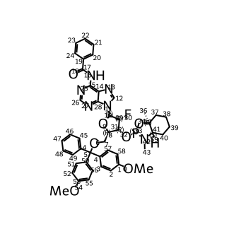 COc1ccc(C(OC[C@H]2O[C@@H](n3cnc4c(NC(=O)c5ccccc5)ncnc43)[C@H](F)[C@@H]2O[P@]2O[C@@]3(C)CCCC[C@@H]3N2C)(c2ccccc2)c2ccc(OC)cc2)cc1